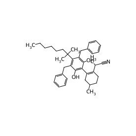 CCCCCCC(C)(C)c1c(Cc2ccccc2)c(O)c(C2=C(C(C)C#N)CCC(C)C2)c(O)c1Cc1ccccc1